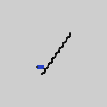 CCCCCCCCCCCCCCC([NH])CC